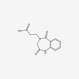 O=C(O)CCN1CC(=O)Nc2ccccc2C1=O